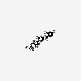 CC(C)OP1(=O)OC[C@H]2OC(n3ccc(NC(=O)c4ccc(Cl)cc4Cl)nc3=O)C(F)(F)[C@@H]2O1